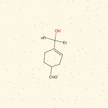 CCCC(O)(CC)C1=CCC(C=O)CC1